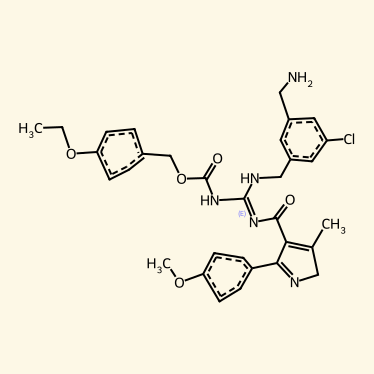 CCOc1ccc(COC(=O)N/C(=N/C(=O)C2=C(C)CN=C2c2ccc(OC)cc2)NCc2cc(Cl)cc(CN)c2)cc1